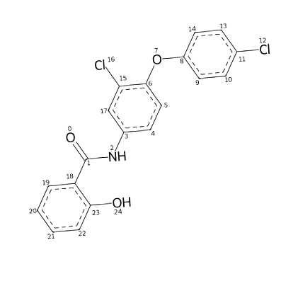 O=C(Nc1ccc(Oc2ccc(Cl)cc2)c(Cl)c1)c1ccccc1O